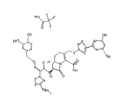 Nc1nc(/C(=N/OCc2ccc(O)c(O)c2)C(=O)N[C@@H]2C(=O)N3C(C(=O)O)=C(CSc4nnc(-c5cc(O)cc(O)c5)s4)CS[C@H]23)cs1.O=C(O)C(F)(F)F